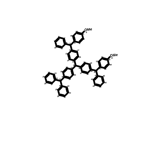 COc1ccc(C(c2ccccc2)c2ccc(C(c3ccc(C(c4ccccc4)c4ccccc4)cc3)c3ccc(C(c4ccccc4)c4ccc(OC)cc4)cc3)cc2)cc1